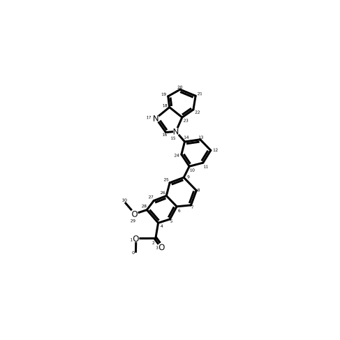 COC(=O)c1cc2ccc(-c3cccc(-n4cnc5ccccc54)c3)cc2cc1OC